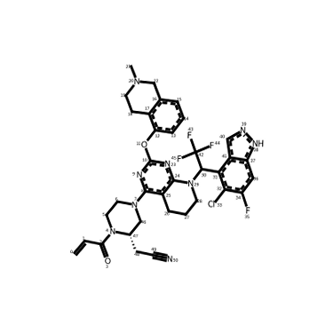 C=CC(=O)N1CCN(c2nc(Oc3cccc4c3CCN(C)C4)nc3c2CCCN3C(c2c(Cl)c(F)cc3[nH]ncc23)C(F)(F)F)C[C@@H]1CC#N